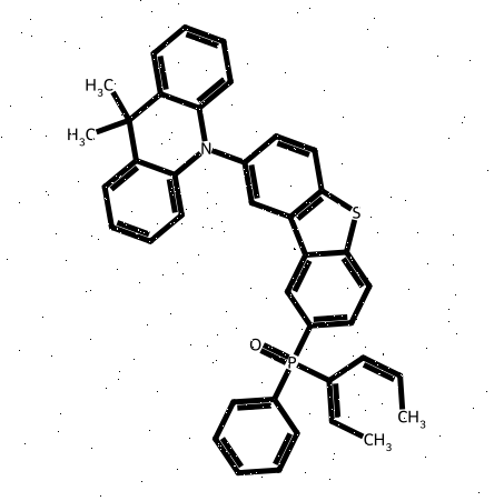 C/C=C\C(=C/C)P(=O)(c1ccccc1)c1ccc2sc3ccc(N4c5ccccc5C(C)(C)c5ccccc54)cc3c2c1